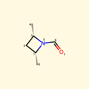 C[C@@H]1C[C@H](C)N1C=O